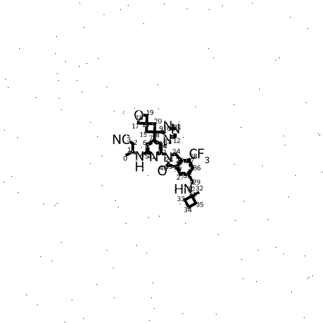 CC(CC#N)Nc1cc(C2(c3nncn3C)CC3(COC3)C2)cc(N2Cc3c(cc(CNC4(C)CCC4)cc3C(F)(F)F)C2=O)n1